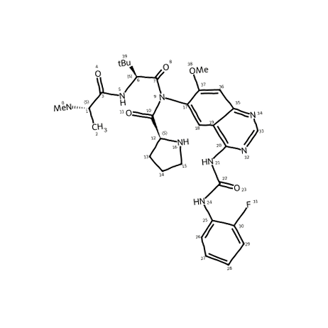 CN[C@@H](C)C(=O)N[C@H](C(=O)N(C(=O)[C@@H]1CCCN1)c1cc2c(NC(=O)Nc3ccccc3F)ncnc2cc1OC)C(C)(C)C